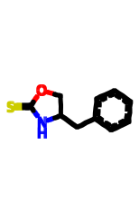 S=C1NC(Cc2ccccc2)CO1